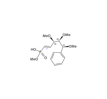 CO[C@H]([C@@H](/C=C/P(=O)(O)OC)OC)[C@@H](OC)c1ccccc1